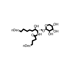 CCCCCCCCCCCCCCC[C@@H](O)[C@H](CO[C@H]1OC[C@H](O)[C@H](O)[C@H]1O)NC(=O)CCCCCCCCCCCCC